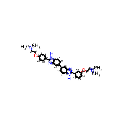 CN(C)CCOc1ccc(-c2nc3cc(-c4ccc5[nH]c(-c6cccc(OCCN(C)C)c6)nc5c4)ccc3[nH]2)cc1